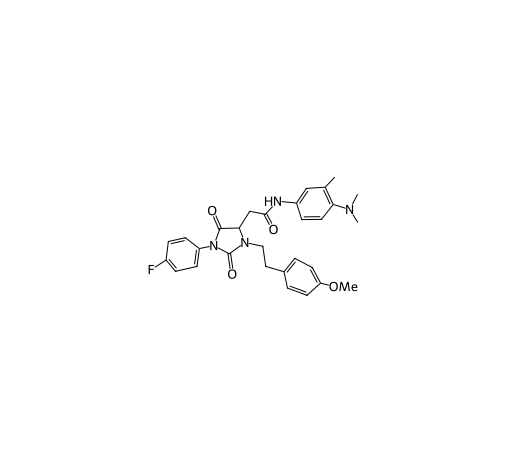 COc1ccc(CCN2C(=O)N(c3ccc(F)cc3)C(=O)C2CC(=O)Nc2ccc(N(C)C)c(C)c2)cc1